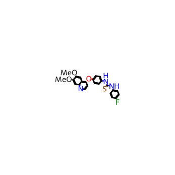 COc1cc2nccc(Oc3ccc(NC(=S)Nc4ccc(F)cc4)cc3)c2cc1OC